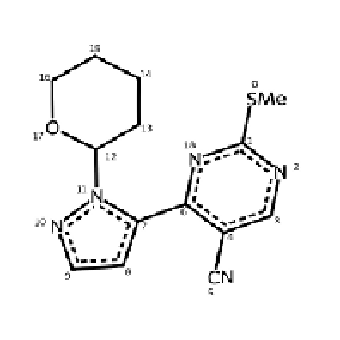 CSc1ncc(C#N)c(-c2ccnn2C2CCCCO2)n1